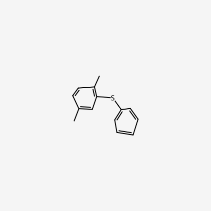 Cc1ccc(C)c(Sc2ccccc2)c1